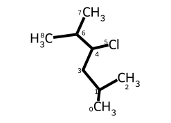 CC(C)CC(Cl)C(C)C